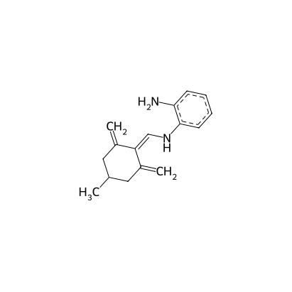 C=C1CC(C)CC(=C)C1=CNc1ccccc1N